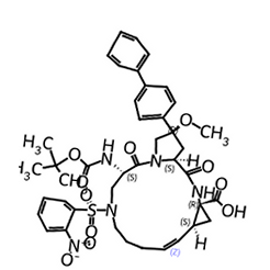 CO[C@@]1(c2ccc(-c3ccccc3)cc2)C[C@H]2C(=O)N[C@]3(C(=O)O)C[C@H]3/C=C\CCCN(S(=O)(=O)c3ccccc3[N+](=O)[O-])C[C@H](NC(=O)OC(C)(C)C)C(=O)N2C1